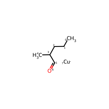 CCCC(C)C=O.[Cu]